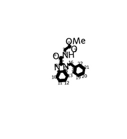 COC(=O)CNC(=O)c1nc2ccccc2n1Cc1ccccc1